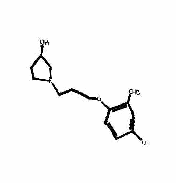 O=Cc1cc(Cl)ccc1OCCCN1CC[C@@H](O)C1